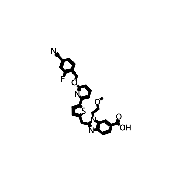 COCCn1c(Cc2ccc(-c3cccc(OCc4ccc(C#N)cc4F)n3)s2)nc2ccc(C(=O)O)cc21